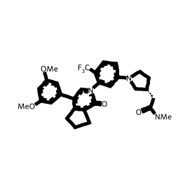 CNC(=O)C[C@H]1CCN(c2ccc(C(F)(F)F)c(-n3cc(-c4cc(OC)cc(OC)c4)c4c(c3=O)CCC4)c2)C1